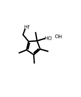 CC1=C(C)C(C)(C)C([CH2][Hf])=C1C.Cl.Cl